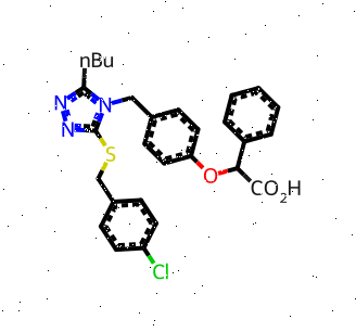 CCCCc1nnc(SCc2ccc(Cl)cc2)n1Cc1ccc(OC(C(=O)O)c2ccccc2)cc1